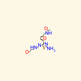 COCCCNC=Nc1sc(N)nc1-c1ccc(CNC(C)=O)o1